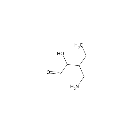 CCC(CN)C(O)C=O